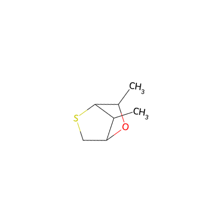 CC1OC2CSC1C2C